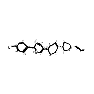 C/C=C/[C@H]1CC[C@H](C2CCC(c3cnc(-c4ccc(Cl)cc4)nc3)CC2)CC1